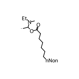 [CH2]C(OC(=O)CCCCCCCCCCCCCCC)N(C)CC